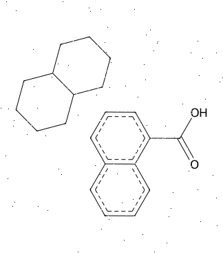 C1CCC2CCCCC2C1.O=C(O)c1cccc2ccccc12